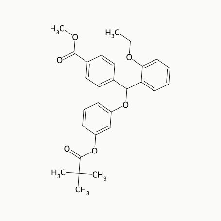 CCOc1ccccc1C(Oc1cccc(OC(=O)C(C)(C)C)c1)c1ccc(C(=O)OC)cc1